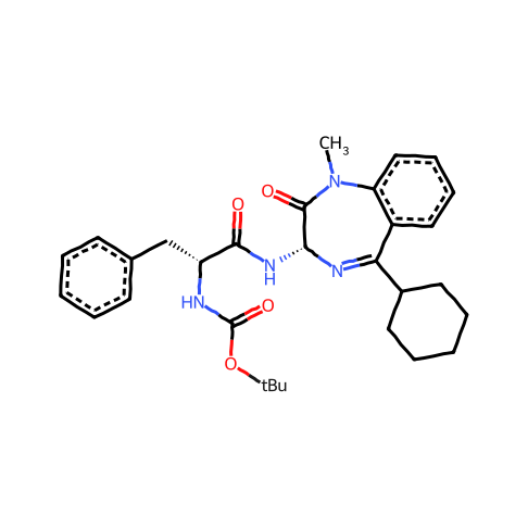 CN1C(=O)[C@@H](NC(=O)[C@@H](Cc2ccccc2)NC(=O)OC(C)(C)C)N=C(C2CCCCC2)c2ccccc21